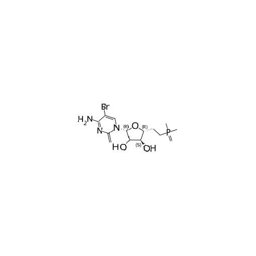 C=C1N=C(N)C(Br)=CN1[C@@H]1O[C@H](CCP(=C)(C)C)[C@@H](O)C1O